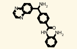 Nc1ccccc1NC(=O)c1ccc(C(N)c2ccc3nccnc3c2)cc1